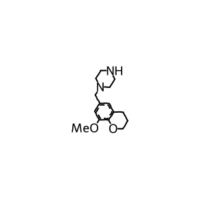 COc1cc(CN2CCNCC2)cc2c1OCCC2